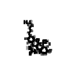 CCCCCc1ccc(C2NC(=S)NC(c3ccc(F)cc3)=C2C(=O)OC)cc1